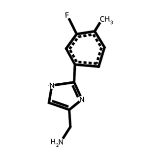 Cc1ccc(C2=NC(CN)=C[N]2)cc1F